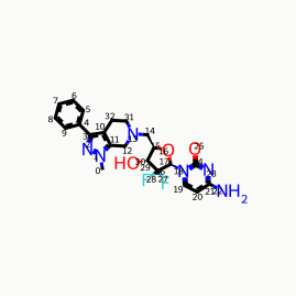 Cn1nc(-c2ccccc2)c2c1CN(C[C@H]1O[C@@H](n3ccc(N)nc3=O)C(F)(F)[C@@H]1O)CC2